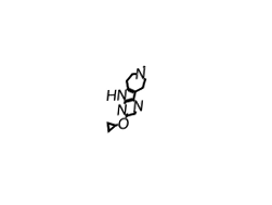 CN1CCc2[nH]c3nc(OC4CC4)cnc3c2CC1